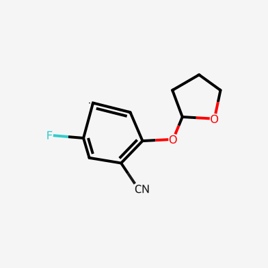 N#Cc1cc(F)[c]cc1OC1CCCO1